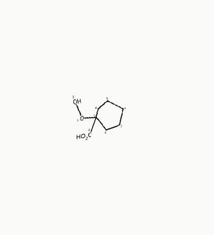 O=C(O)C1(OO)CCCCC1